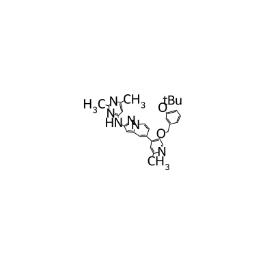 Cc1cc(-c2ccn3nc(Nc4cc(C)nc(C)n4)cc3c2)c(OCc2cccc(OC(C)(C)C)c2)cn1